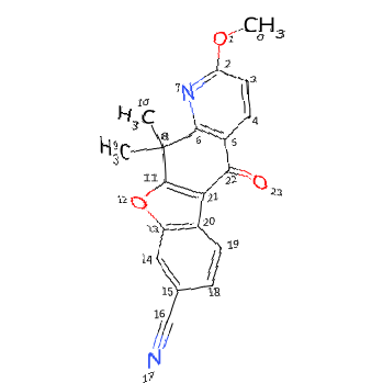 COc1ccc2c(n1)C(C)(C)c1oc3cc(C#N)ccc3c1C2=O